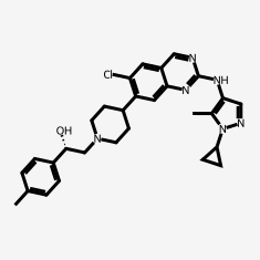 Cc1ccc([C@H](O)CN2CCC(c3cc4nc(Nc5cnn(C6CC6)c5C)ncc4cc3Cl)CC2)cc1